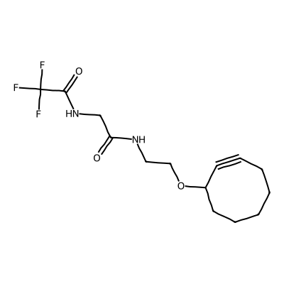 O=C(CNC(=O)C(F)(F)F)NCCOC1C#CCCCCC1